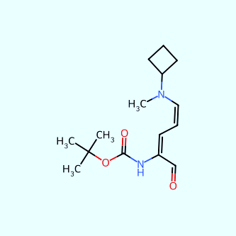 CN(/C=C\C=C(/C=O)NC(=O)OC(C)(C)C)C1CCC1